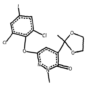 Cn1nc(Oc2c(Cl)cc(I)cc2Cl)cc(C2(C)OCCO2)c1=O